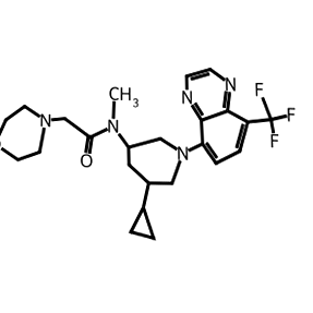 CN(C(=O)CN1CCOCC1)C1CC(C2CC2)CN(c2ccc(C(F)(F)F)c3nccnc23)C1